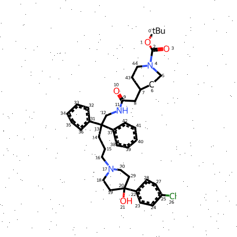 CC(C)(C)OC(=O)N1CCC(CC(=O)NCC(CCCN2CCC(O)(c3ccc(Cl)cc3)CC2)(c2ccccc2)c2ccccc2)CC1